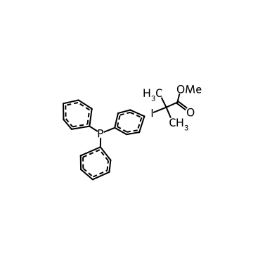 COC(=O)C(C)(C)I.c1ccc(P(c2ccccc2)c2ccccc2)cc1